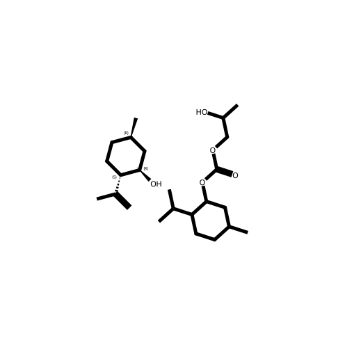 C=C(C)[C@@H]1CC[C@@H](C)C[C@H]1O.CC(O)COC(=O)OC1CC(C)CCC1C(C)C